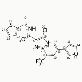 CC(NC(=O)c1nc2c(C(F)(F)F)cc(-c3ccoc3)cn2c1Cl)c1cccs1